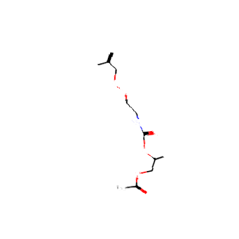 C=C(C)COOCCNC(=O)OC(C)COC(=O)C(C)CC